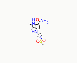 C=CS(=O)(=O)N1CCC(Nc2ccc(C(N)=O)c3[nH]c(C)c(C)c23)C1